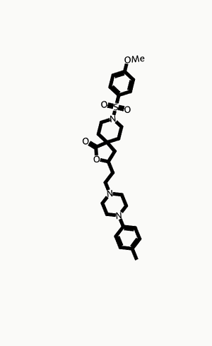 COc1ccc(S(=O)(=O)N2CCC3(CC2)CC(CCN2CCN(c4ccc(C)cc4)CC2)OC3=O)cc1